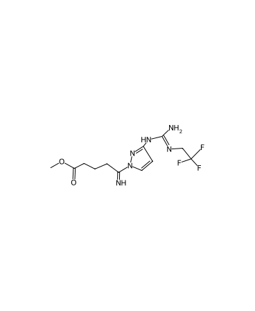 COC(=O)CCCC(=N)n1ccc(NC(N)=NCC(F)(F)F)n1